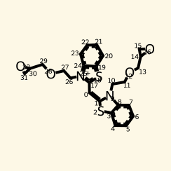 C(=C1Sc2ccccc2N1CCOCC1CO1)c1sc2ccccc2[n+]1CCOCC1CO1